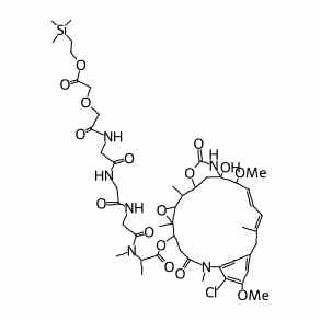 COc1cc2cc(c1Cl)N(C)C(=O)CC(OC(=O)C(C)N(C)C(=O)CNC(=O)CNC(=O)CNC(=O)COCC(=O)OCC[Si](C)(C)C)C1(C)OC1C(C)C1CC(O)(NC(=O)O1)C(OC)/C=C/C=C(\C)C2